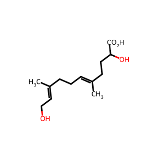 CC(=CCO)CCC=C(C)CCC(O)C(=O)O